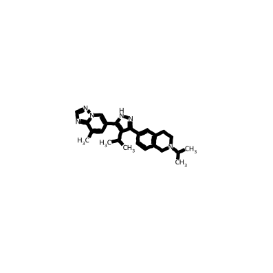 Cc1cc(-c2[nH]nc(-c3ccc4c(c3)CCN(C(C)C)C4)c2C(C)C)cn2ncnc12